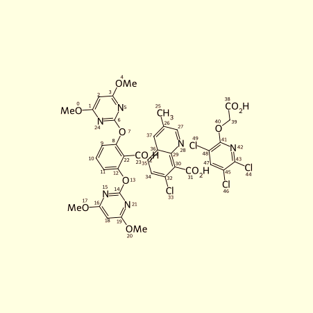 COc1cc(OC)nc(Oc2cccc(Oc3nc(OC)cc(OC)n3)c2C(=O)O)n1.Cc1cnc2c(C(=O)O)c(Cl)ccc2c1.O=C(O)COc1nc(Cl)c(Cl)cc1Cl